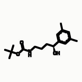 Cc1cc(C)cc([C@H](O)CCCNC(=O)OC(C)(C)C)c1